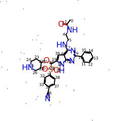 CC(=O)NCCNc1nc(-c2ccccc2)nc2[nH]c(C(OC3CCNCC3)S(=O)(=O)c3ccc(C#N)cc3)cc12